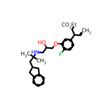 C=CC(CC(=O)OCC)c1ccc(F)c(OCC(O)CNC(C)(C)CC2Cc3ccccc3C2)c1